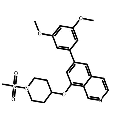 COc1cc(OC)cc(-c2cc(OC3CCN(S(C)(=O)=O)CC3)c3cnccc3c2)c1